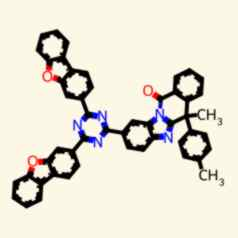 Cc1ccc(C2(C)c3ccccc3C(=O)n3c2nc2ccc(-c4nc(-c5ccc6c(c5)oc5ccccc56)nc(-c5ccc6c(c5)oc5ccccc56)n4)cc23)cc1